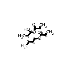 C=CC(=O)OC(O)CC.C=CC(=O)OCCCC